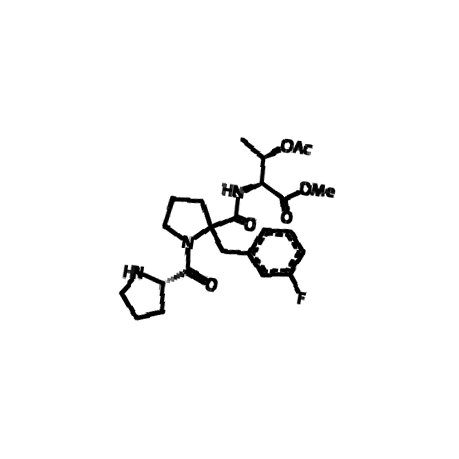 COC(=O)[C@@H](NC(=O)C1(Cc2cccc(F)c2)CCCN1C(=O)[C@@H]1CCCN1)[C@@H](C)OC(C)=O